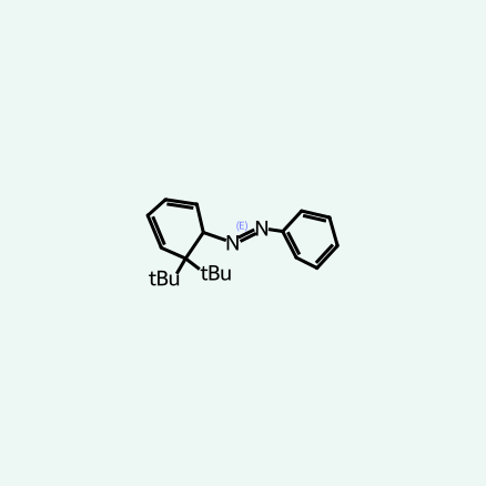 CC(C)(C)C1(C(C)(C)C)C=CC=CC1/N=N/c1ccccc1